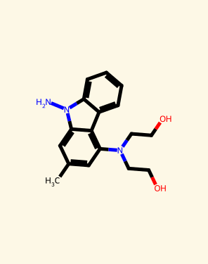 Cc1cc(N(CCO)CCO)c2c3ccccc3n(N)c2c1